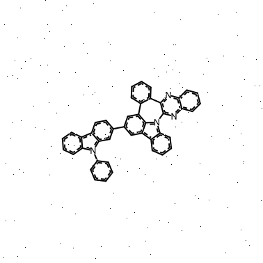 c1ccc(-n2c3ccccc3c3ccc(-c4cc5c6c(c4)c4ccccc4n6-c4nc6ccccc6nc4-c4ccccc4-5)cc32)cc1